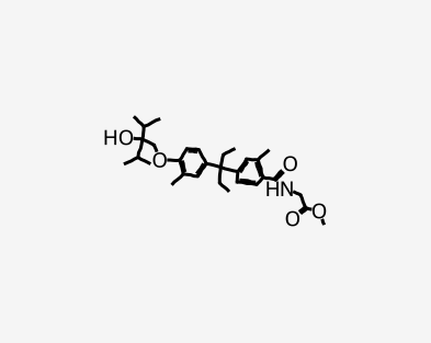 CCC(CC)(c1ccc(OCC(O)(C(C)C)C(C)C)c(C)c1)c1ccc(C(=O)NCC(=O)OC)c(C)c1